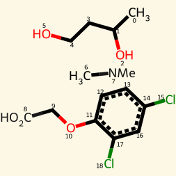 CC(O)CCO.CNC.O=C(O)COc1ccc(Cl)cc1Cl